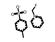 Cc1ccc(S(=O)(=O)[O-])cc1.FC[n+]1ccccc1